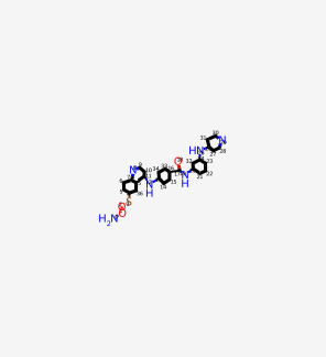 NOOSc1ccc2nccc(Nc3ccc(C(=O)Nc4cccc(Nc5ccncc5)c4)cc3)c2c1